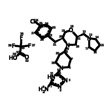 Nc1nnc(N2CCC(N3C[C@H](CN4CCCC4)OC[C@@H]3Cc3ccc(Cl)cc3)CC2)[nH]1.O=C(O)C(F)(F)F